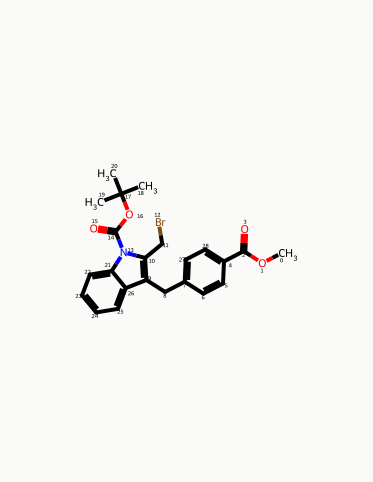 COC(=O)c1ccc(Cc2c(CBr)n(C(=O)OC(C)(C)C)c3ccccc23)cc1